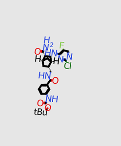 CC(C)(C)OC(=O)Nc1cccc(C(=O)NC[C@@H]2C[C@@H]3C[C@H]2[C@@H](Nc2nc(Cl)ncc2F)[C@H]3C(N)=O)c1